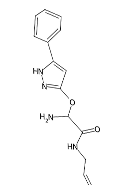 C=CCNC(=O)C(N)Oc1cc(-c2ccccc2)[nH]n1